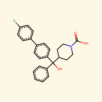 O=C(O)N1CCC(C(O)(c2ccccc2)c2ccc(-c3ccc(F)cc3)cc2)CC1